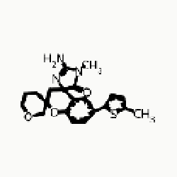 Cc1ccc(-c2ccc3c(c2)C2(CC4(CCCOC4)O3)N=C(N)N(C)C2=O)s1